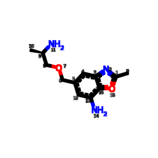 Cc1nc2cc(COC[C@@H](C)N)cc(N)c2o1